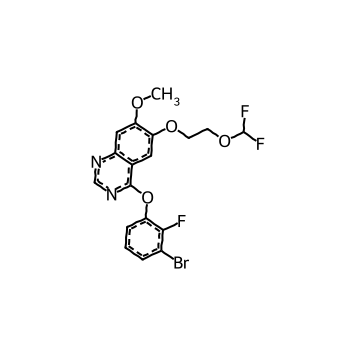 COc1cc2ncnc(Oc3cccc(Br)c3F)c2cc1OCCOC(F)F